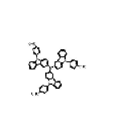 O=Cc1ccc(-n2c3ccccc3c3cc(N(c4ccc5c(c4)c4ccccc4n5-c4ccc(C=O)cc4)c4ccc5c(c4)c4ccccc4n5-c4ccc(C=O)cc4)ccc32)cc1